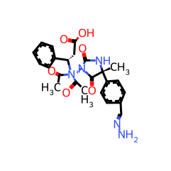 CC(=O)[N+](C(C)=O)([C@@H](CC(=O)O)c1ccccc1)N1C(=O)N[C@](C)(c2ccc(C=NN)cc2)C1=O